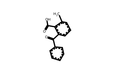 Cc1cccc(C(=O)c2ccccc2)c1C(=O)O